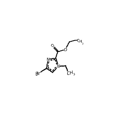 CCOC(=O)c1nc(Br)cn1CC